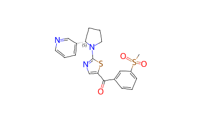 CS(=O)(=O)c1cccc(C(=O)c2cnc(N3CCC[C@H]3c3cccnc3)s2)c1